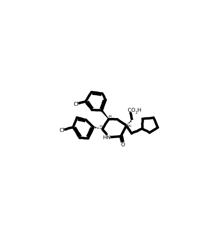 O=C(O)C[C@@]1(CC2CCCC2)C[C@H](c2cccc(Cl)c2)[C@@H](c2ccc(Cl)cc2)NC1=O